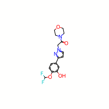 O=C(Cn1ccc(-c2ccc(OC(F)F)c(O)c2)n1)N1CCOCC1